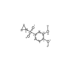 COc1ccc(S(=O)(=O)N2[CH]C2)cc1OC